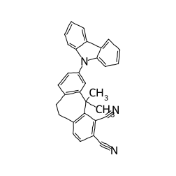 CC1(C)c2cc(-n3c4ccccc4c4ccccc43)ccc2CCc2ccc(C#N)c(C#N)c21